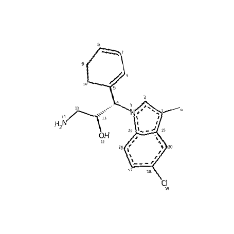 Cc1cn([C@@H](C2=CC=CCC2)C(O)CN)c2ccc(Cl)cc12